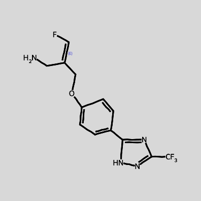 NC/C(=C\F)COc1ccc(-c2nc(C(F)(F)F)n[nH]2)cc1